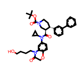 CC(C)(C)OC(=O)N1CC[C@H](c2cccc(-c3ccccc3)c2)[C@@H](C(=O)N(c2ccc3c(c2)N(CCCCO)C(=O)CO3)C2CC2)C1